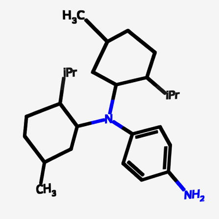 CC1CCC(C(C)C)C(N(c2ccc(N)cc2)C2CC(C)CCC2C(C)C)C1